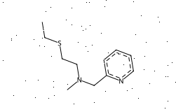 CCSCCN(C)Cc1ccccn1